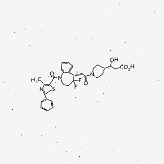 Cc1nc(-c2ccccc2)sc1C(=O)N1CCC(F)(F)/C(=C\C(=O)N2CCC(C(O)CC(=O)O)CC2)c2ccccc21